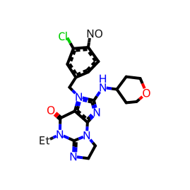 CCN1C(=O)c2c(nc(NC3CCOCC3)n2Cc2ccc(N=O)c(Cl)c2)N2CCN=C12